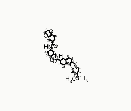 CC(C)N1CCN(Cc2ccc3cc(C(=O)Nc4cc(NC(=O)c5ccc6c(c5)OCCO6)ccc4Cl)ccc3n2)CC1